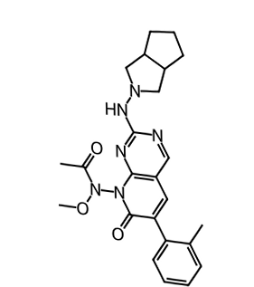 CON(C(C)=O)n1c(=O)c(-c2ccccc2C)cc2cnc(NN3CC4CCCC4C3)nc21